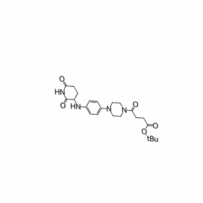 CC(C)(C)OC(=O)CCC(=O)N1CCN(c2ccc(NC3CCC(=O)NC3=O)cc2)CC1